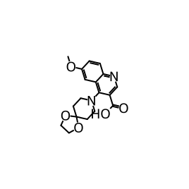 COc1ccc2ncc(C(=O)O)c(N3CCC4(CC3)OCCO4)c2c1